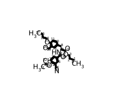 CCCCOC(=O)[C@H](Cc1ccc(OCCCC)c(C=O)c1)NC(=O)c1ccc(OC(C)C)c(C#N)c1